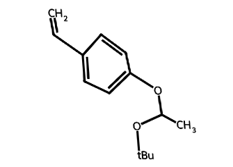 C=Cc1ccc(OC(C)OC(C)(C)C)cc1